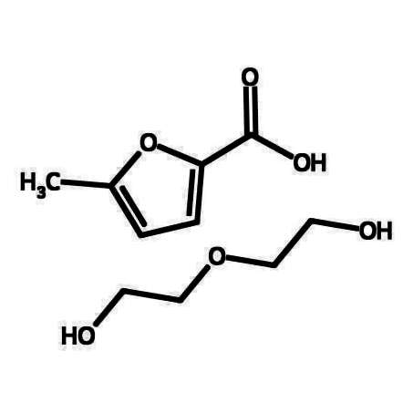 Cc1ccc(C(=O)O)o1.OCCOCCO